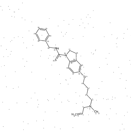 C=CCN(C)CCCCOc1ccc2c(c1)CCN2C(=S)NCc1ccccc1